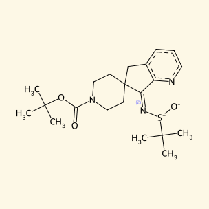 CC(C)(C)OC(=O)N1CCC2(CC1)Cc1cccnc1/C2=N\[S+]([O-])C(C)(C)C